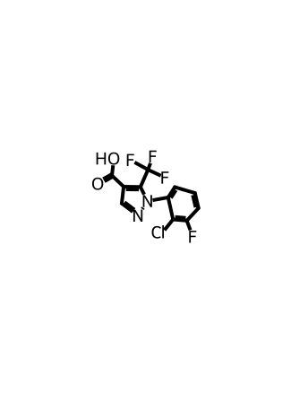 O=C(O)c1cnn(-c2cccc(F)c2Cl)c1C(F)(F)F